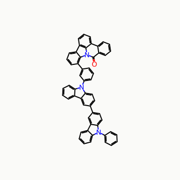 O=c1c2ccccc2c2cccc3c4cccc(-c5cccc(-n6c7ccccc7c7cc(-c8ccc9c(c8)c8ccccc8n9-c8ccccc8)ccc76)c5)c4n1c23